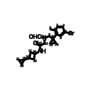 Cc1ccc(Br)cc1C1(CN(C=O)CC(=O)NC2CC(C3CC3)C2)CC1